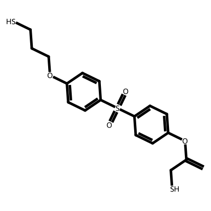 C=C(CS)Oc1ccc(S(=O)(=O)c2ccc(OCCCS)cc2)cc1